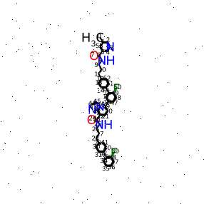 Cc1cncc(C(=O)NCCCc2ccc(-c3cc(-c4ccc(C(=O)NCCCc5ccc(-c6ccccc6F)cc5)c5nccn45)ccc3F)cc2)c1